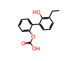 CCc1cccc(-c2ccccc2OC(=O)O)c1O